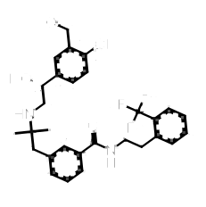 CC(C)(Cc1cccc(C(=O)NCCc2ccccc2C(F)(F)F)c1)NC[C@H](O)c1ccc(O)c(CO)c1